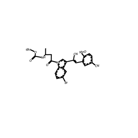 COc1ccc(C#N)cc1C=C(C#N)c1cn(C(=O)CC(C)NC(=O)OC(C)(C)C)c2ccc(Br)cc12